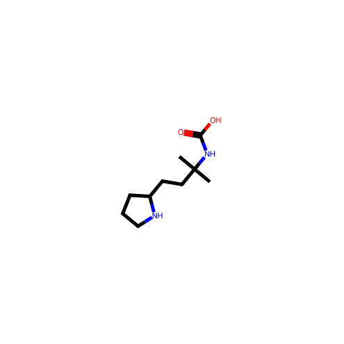 CC(C)(CCC1CCCN1)NC(=O)O